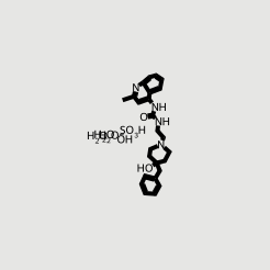 Cc1cc(NC(=O)NCCN2CCC(O)(Cc3ccccc3)CC2)c2ccccc2n1.O.O.O.O=S(=O)(O)O